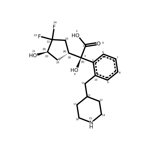 O=C(O)[C@](O)(c1ccccc1CC1CCNCC1)[C@@H]1C[C@@H](O)C(F)(F)C1